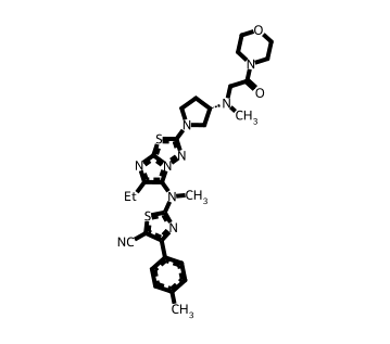 CCc1nc2sc(N3CC[C@H](N(C)CC(=O)N4CCOCC4)C3)nn2c1N(C)c1nc(-c2ccc(C)cc2)c(C#N)s1